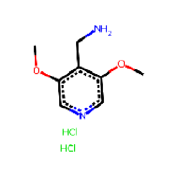 COc1cncc(OC)c1CN.Cl.Cl